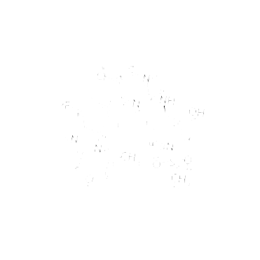 C[C@@H]1COCc2nc3c(F)cc(-c4nc(N[C@@H]5CCN(S(C)(=O)=O)C[C@H]5O)ncc4Cl)cc3n21